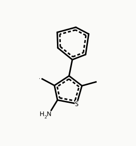 [CH2]c1c(N)sc(C)c1-c1ccccc1